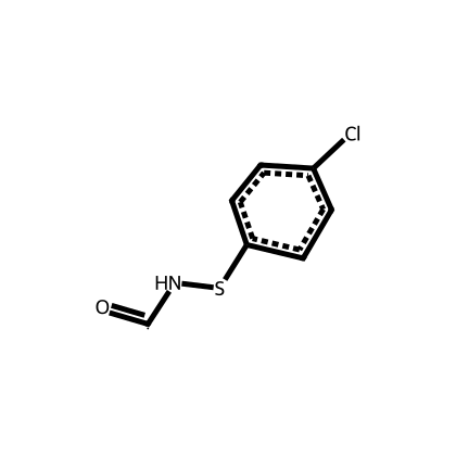 O=[C]NSc1ccc(Cl)cc1